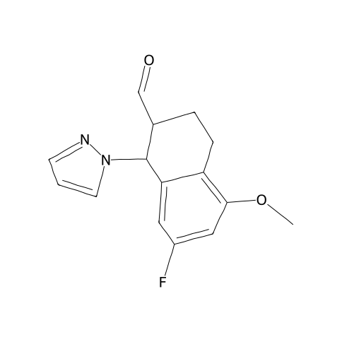 COc1cc(F)cc2c1CCC(C=O)C2n1cccn1